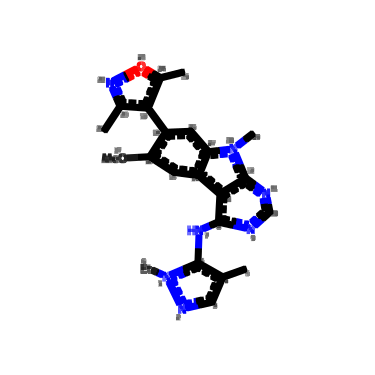 CCn1ncc(C)c1Nc1ncnc2c1c1cc(OC)c(-c3c(C)noc3C)cc1n2C